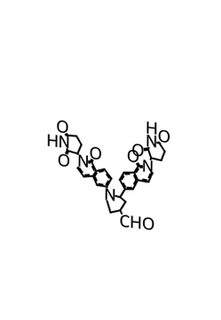 O=CC1CCN(c2ccc3c(=O)n(C4CCC(=O)NC4=O)ccc3c2)C(c2ccc3c(=O)n(C4CCC(=O)NC4=O)ccc3c2)C1